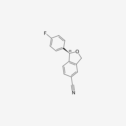 N#Cc1ccc2c(c1)CO[C@@H]2c1ccc(F)cc1